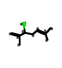 C=C(C)C(Cl)CC=C(C)C